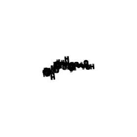 O=C(O)CCCOc1cccc(NC(=O)Cc2ccc3nc(Nc4cccnc4)oc3c2)c1